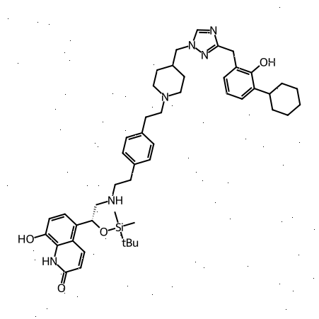 CC(C)(C)[Si](C)(C)O[C@@H](CNCCc1ccc(CCN2CCC(Cn3cnc(Cc4cccc(C5CCCCC5)c4O)n3)CC2)cc1)c1ccc(O)c2[nH]c(=O)ccc12